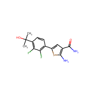 CC(C)(O)c1ccc(-c2cc(C(N)=O)c(N)s2)c(F)c1F